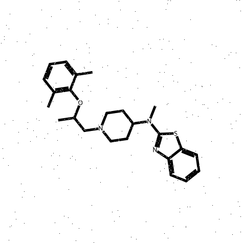 Cc1cccc(C)c1OC(C)CN1CCC(N(C)c2nc3ccccc3s2)CC1